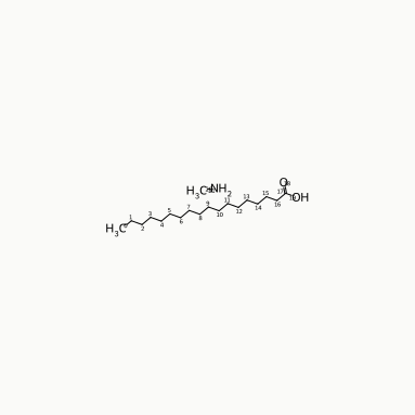 CCCCCCCCCCCCCCCCCC(=O)O.CN